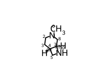 CN1CC[C@H]2CN[C@H]2C1